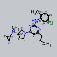 CCCc1cc(N2CC[C@H](N(C)C3CC3)C2)nc(Nc2cc(Cl)ccc2C)n1